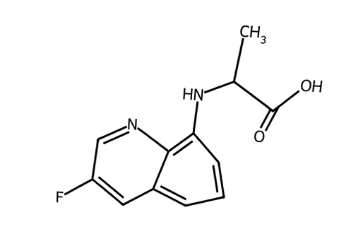 CC(Nc1cccc2cc(F)cnc12)C(=O)O